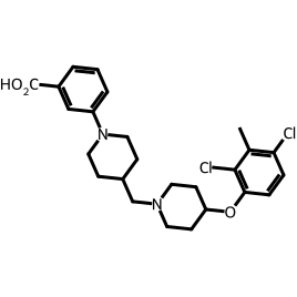 Cc1c(Cl)ccc(OC2CCN(CC3CCN(c4cccc(C(=O)O)c4)CC3)CC2)c1Cl